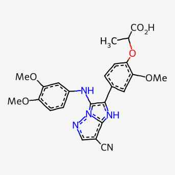 COc1ccc(Nc2c(-c3ccc(OC(C)C(=O)O)c(OC)c3)[nH]c3c(C#N)cnn23)cc1OC